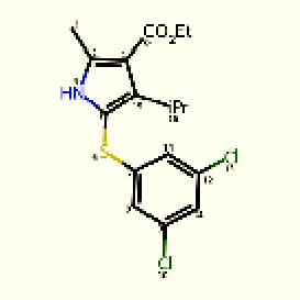 CCOC(=O)c1c(C)[nH]c(Sc2cc(Cl)cc(Cl)c2)c1C(C)C